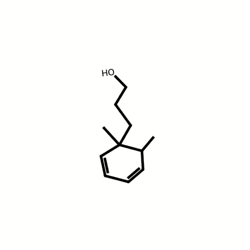 CC1C=CC=CC1(C)CCCO